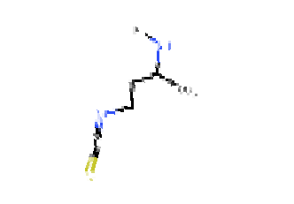 CCNC(CCN=C=S)C(=O)O